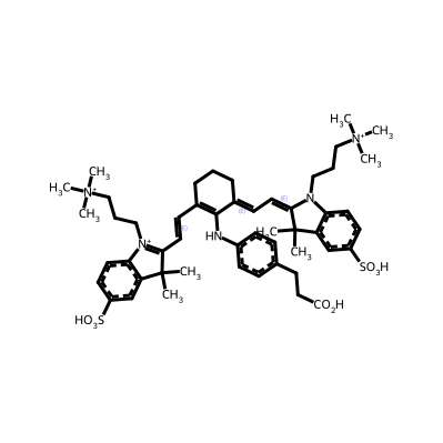 CC1(C)C(/C=C/C2=C(Nc3ccc(CCC(=O)O)cc3)C(=C/C=C3/N(CCC[N+](C)(C)C)c4ccc(S(=O)(=O)O)cc4C3(C)C)/CCC2)=[N+](CCC[N+](C)(C)C)c2ccc(S(=O)(=O)O)cc21